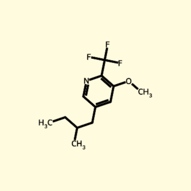 CCC(C)Cc1cnc(C(F)(F)F)c(OC)c1